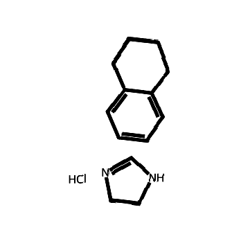 C1=NCCN1.Cl.c1ccc2c(c1)CCCC2